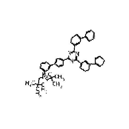 CC(C)(C)CP(CC(C)(C)C)c1cccc(-c2ccc(-c3nc(C4=CCCC(C5=CCCC=C5)=C4)nc(C4=CC(c5ccccc5)=CCC4)n3)cc2)c1